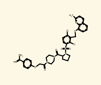 Cc1ccc2cccc(OCc3c(Cl)ccc(S(=O)(=O)N4CCCC4C(=O)N4CCN(C(=O)COc5ccc(C(=N)N)cc5)CC4)c3Cl)c2n1